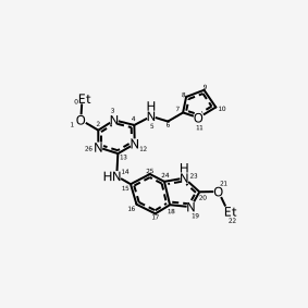 CCOc1nc(NCc2ccco2)nc(Nc2ccc3nc(OCC)[nH]c3c2)n1